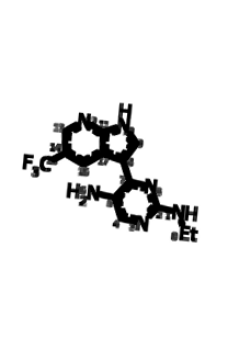 CCNc1ncc(N)c(-c2c[nH]c3ncc(C(F)(F)F)cc23)n1